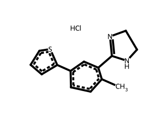 Cc1ccc(-c2cccs2)cc1C1=NCCN1.Cl